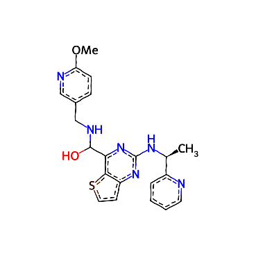 COc1ccc(CNC(O)c2nc(N[C@@H](C)c3ccccn3)nc3ccsc23)cn1